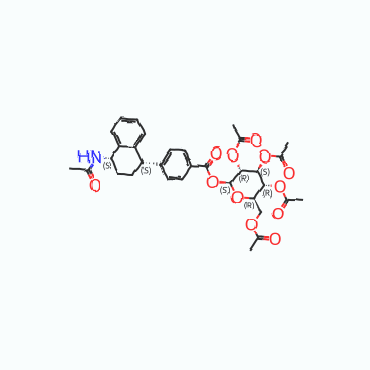 CC(=O)N[C@H]1CC[C@@H](c2ccc(C(=O)O[C@@H]3O[C@H](COC(C)=O)[C@@H](OC(C)=O)[C@H](OC(C)=O)[C@H]3OC(C)=O)cc2)c2ccccc21